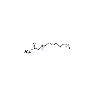 CCCCCC/C=C/CC(C)=O